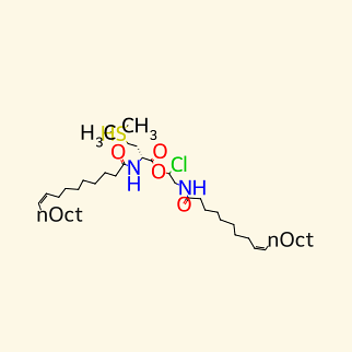 CCCCCCCC/C=C\CCCCCCCC(=O)NCC(Cl)OC(=O)[C@@H](CC[SH](C)C)NC(=O)CCCCCCC/C=C\CCCCCCCC